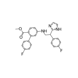 COC(=O)c1ccc(NCC(c2ccc(F)cc2)c2ncc[nH]2)cc1-c1ccc(F)cc1